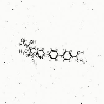 C[C@@H](O)c1ccc(-c2ccc(C3=NO[C@@H](C[C@](C)(C(O)NO)S(C)(=O)=O)C3)cc2)cc1